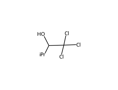 CC(C)C(O)C(Cl)(Cl)Cl